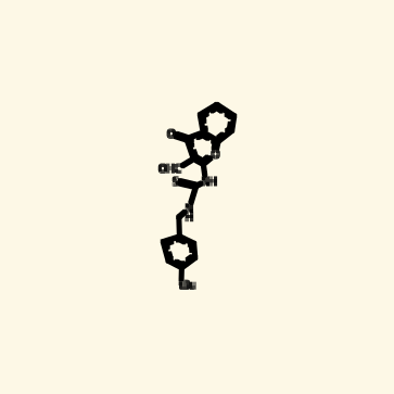 CC(C)(C)c1ccc(CNC(=S)Nc2oc3ccccc3c(=O)c2C=O)cc1